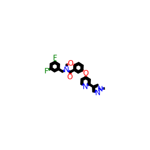 Cn1cc(-c2cc(Oc3ccc4c(c3)C(=O)N(Cc3cc(F)cc(F)c3)CO4)ccn2)cn1